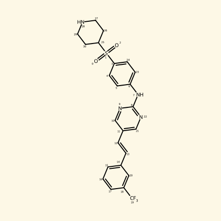 O=S(=O)(c1ccc(Nc2ncc(/C=C/c3cccc(C(F)(F)F)c3)cn2)cc1)C1CCNCC1